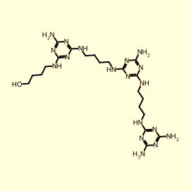 Nc1nc(N)nc(NCCCCNc2nc(N)nc(NCCCCNc3nc(N)nc(NCCCCO)n3)n2)n1